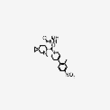 Cc1cc([N+](=O)[O-])ccc1C1=CCN(C(=O)[C@@H]2[C@@H](C(=O)NO)CC3(CC3)CN2C)CC1